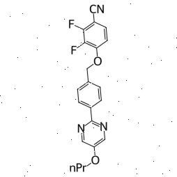 CCCOc1cnc(-c2ccc(COc3ccc(C#N)c(F)c3F)cc2)nc1